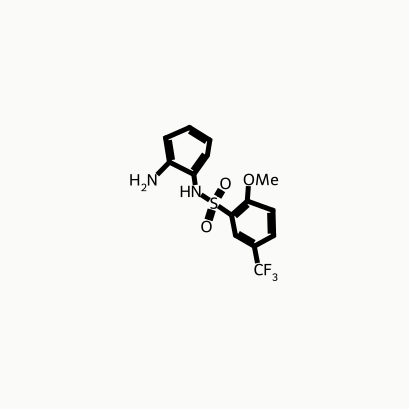 COc1ccc(C(F)(F)F)cc1S(=O)(=O)Nc1ccccc1N